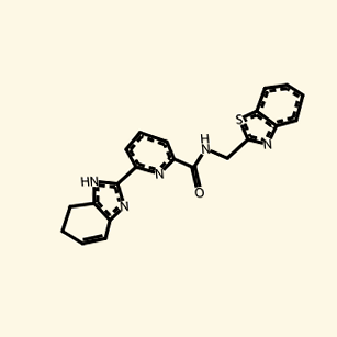 O=C(NCc1nc2ccccc2s1)c1cccc(-c2nc3c([nH]2)CCC=C3)n1